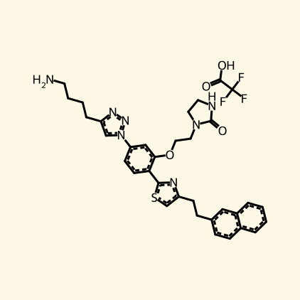 NCCCCc1cn(-c2ccc(-c3nc(CCc4ccc5ccccc5c4)cs3)c(OCCN3CCNC3=O)c2)nn1.O=C(O)C(F)(F)F